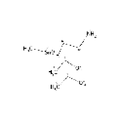 CC[O-].CC[O-].[CH3][Sn+2][CH2]CCN